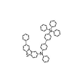 c1ccc(-c2ccc3sc4ccc(N(c5ccccc5)c5ccc(-c6ccc([Si](c7ccccc7)(c7ccccc7)c7ccccc7)cc6)cc5)cc4c3c2)cc1